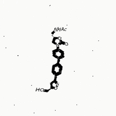 CC(=O)NC[C@H]1CN(c2ccc(-c3ccc(C4=NO[C@@H](CO)C4)cc3)cc2)C(=O)O1